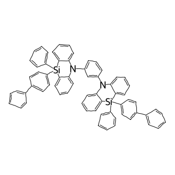 c1ccc(-c2ccc([Si]3(c4ccccc4)c4ccccc4N(c4cccc(N5c6ccccc6[Si](c6ccccc6)(c6ccc(-c7ccccc7)cc6)c6ccccc65)c4)c4ccccc43)cc2)cc1